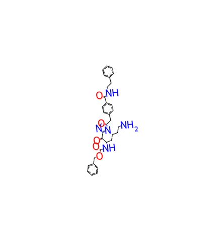 NCCCCC(NC(=O)OCc1ccccc1)C(=O)c1noc(Cc2ccc(C(=O)NCCc3ccccc3)cc2)n1